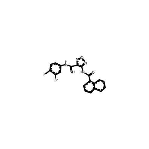 N=C(Nc1ccc(F)c(Br)c1)c1nonc1NC(=O)c1cccc2ccccc12